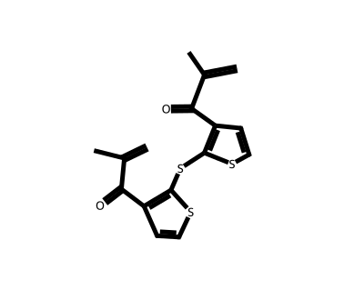 C=C(C)C(=O)c1ccsc1Sc1sccc1C(=O)C(=C)C